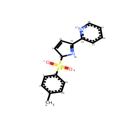 Cc1ccc(S(=O)(=O)C2C=CC(c3ccccn3)=N2)cc1